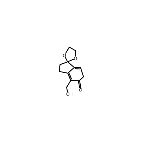 O=C1CC=C2C(=C1CO)CCC21OCCO1